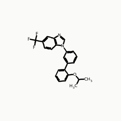 CC(C)Oc1ccccc1-c1cccc(-n2cnc3cc(C(F)(F)F)ccc32)c1